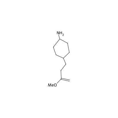 C=C(CCC1CCC(N)CC1)OC